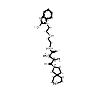 Cc1nc2ccccc2n1CCOCCNC(=O)[C@H](O)[C@@H](O)C(=O)N1CCC2(CCNCC2)C1